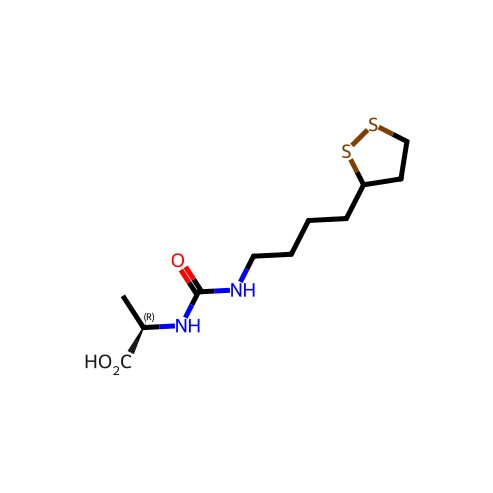 C[C@@H](NC(=O)NCCCCC1CCSS1)C(=O)O